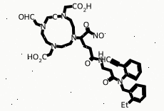 C#Cc1ccccc1N(Cc1ccccc1CC)C(=O)CCNC(=O)CCC(C(=O)N=O)N1CCN(CC(=O)O)CCN(CC=O)CCN(CC(=O)O)CC1